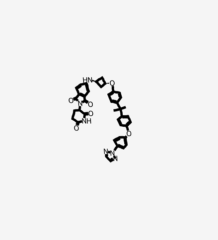 CC(C)(c1ccc(Oc2ccc(-n3nccn3)cc2)cc1)c1ccc(O[C@H]2C[C@H](Nc3ccc4c(c3)C(=O)N(C3CCC(=O)NC3=O)C4=O)C2)cc1